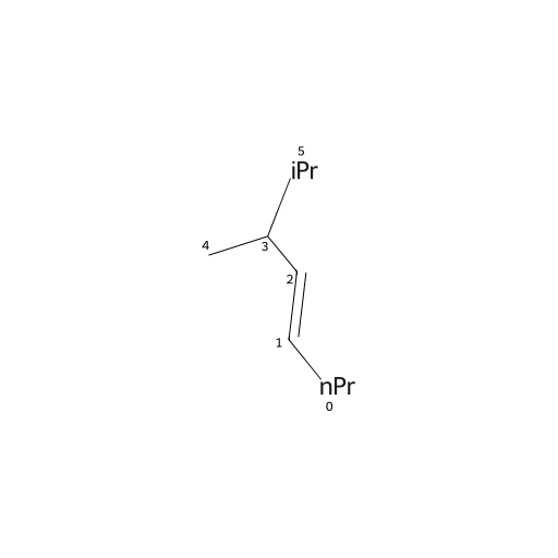 CCC/C=C/C(C)C(C)C